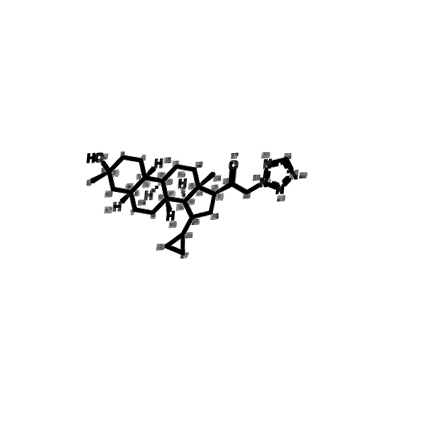 C[C@@]1(O)CC[C@H]2[C@H](CC[C@@H]3[C@@H]2CC[C@]2(C)[C@@H](C(=O)Cn4ncnn4)CC(C4CC4)[C@@H]32)C1